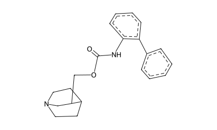 O=C(Nc1ccccc1-c1ccccc1)OCC1CN2CCC1CC2